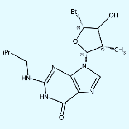 CC[C@H]1O[C@@H](n2cnc3c(=O)[nH]c(NCC(C)C)nc32)[C@@H](C)C1O